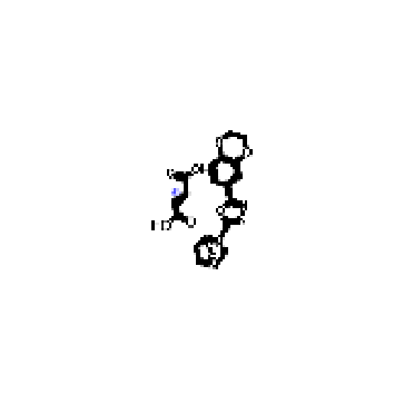 O=C(O)/C=C/C(=O)O.c1cc2c(cc1-c1nnc(N3CCN4CCC3CC4)o1)OCCO2